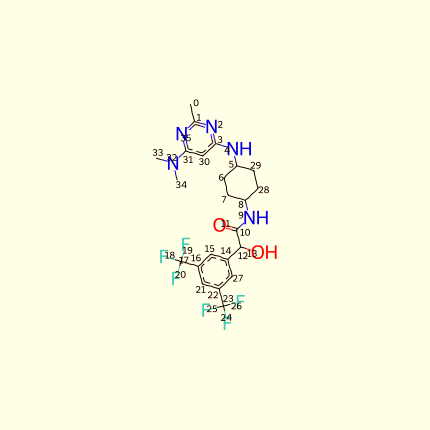 Cc1nc(NC2CCC(NC(=O)C(O)c3cc(C(F)(F)F)cc(C(F)(F)F)c3)CC2)cc(N(C)C)n1